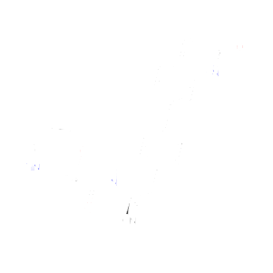 Cn1c(=O)ccc2ccc(-c3ccc(C[C@@H](C#N)NC(=O)[C@@H]4CNCCCO4)cc3)cc21